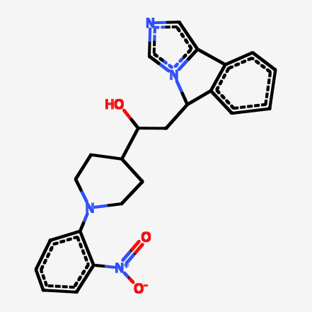 O=[N+]([O-])c1ccccc1N1CCC(C(O)CC2c3ccccc3-c3cncn32)CC1